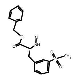 CS(=O)(=O)c1cccc(C[C@H](NCl)C(=O)OCc2ccccc2)c1